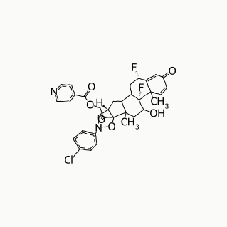 CC12C=CC(=O)C=C1[C@@H](F)CC1C3C[C@H]4CN(c5ccc(Cl)cc5)O[C@@]4(C(=O)COC(=O)c4ccncc4)C3(C)CC(O)[C@@]12F